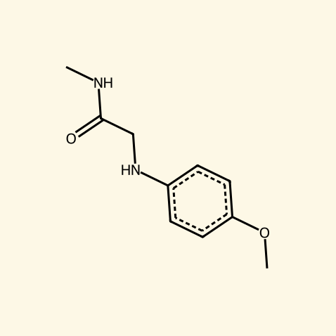 CNC(=O)CNc1ccc(OC)cc1